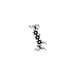 C=C(C)C(=O)Oc1ccc(-c2ccc(-c3ccc(OC(=O)C(=C)C)c(C)c3)cc2F)cc1